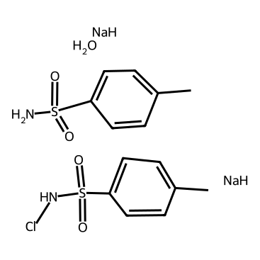 Cc1ccc(S(=O)(=O)NCl)cc1.Cc1ccc(S(N)(=O)=O)cc1.O.[NaH].[NaH]